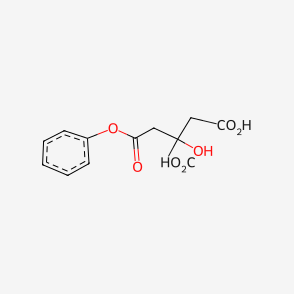 O=C(O)CC(O)(CC(=O)Oc1ccccc1)C(=O)O